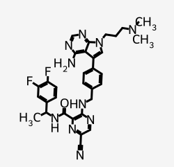 CC(NC(=O)c1nc(C#N)cnc1NCc1ccc(-c2cn(CCCN(C)C)c3ncnc(N)c23)cc1)c1ccc(F)c(F)c1